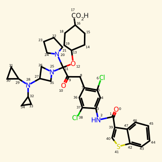 O=C(Nc1cc(Cl)c(CC(=O)C(OC2CCC(C(=O)O)CC2)(N2CCCC2)N2CC(N(C3CC3)C3CC3)C2)cc1Cl)c1csc2ccccc12